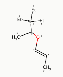 CC=COC(C)[Si](CC)(CC)CC